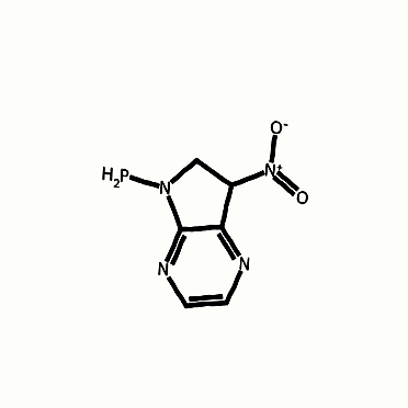 O=[N+]([O-])C1CN(P)c2nccnc21